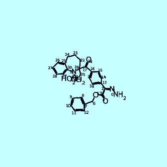 NN=C(C(=O)OCc1ccccc1)c1ccc(C(=O)C2(CC(=O)O)CCCc3ccccc3N2N)cc1